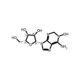 NC1=c2ncn([C@@H]3O[C@H](CO)[C@@H](O)[C@H]3O)c2=NCN1O